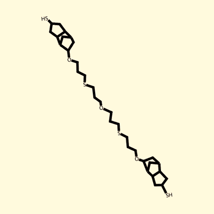 SC1CC2C3CC(OCCCSCCCOCCCSCCCOC4CC5CC4C4CC(S)CC54)C(C3)C2C1